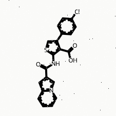 O=C(Nc1scc(-c2ccc(Cl)cc2)c1C(=O)O)c1cc2ccccn2c1